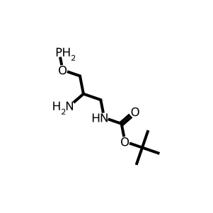 CC(C)(C)OC(=O)NCC(N)COP